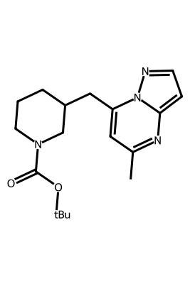 Cc1cc(CC2CCCN(C(=O)OC(C)(C)C)C2)n2nccc2n1